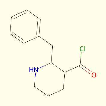 O=C(Cl)C1CCCNC1Cc1ccccc1